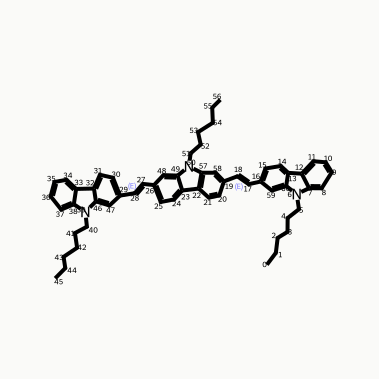 CCCCCCn1c2ccccc2c2ccc(/C=C/c3ccc4c5ccc(/C=C/c6ccc7c8ccccc8n(CCCCCC)c7c6)cc5n(CCCCCC)c4c3)cc21